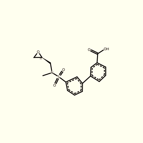 CN(C[C@H]1CO1)S(=O)(=O)c1cccc(-c2cccc(C(=O)O)c2)c1